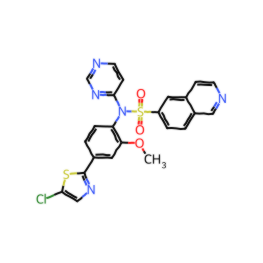 COc1cc(-c2ncc(Cl)s2)ccc1N(c1ccncn1)S(=O)(=O)c1ccc2cnccc2c1